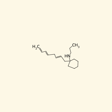 C=CC=CCC=CCC1(NCCC)CCCCC1